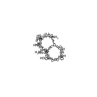 CC(=O)NC1CSCc2cc3cc(c2)CSCC(NC(=O)C(CCCCNC(=N)N)NC(=O)C(Cc2ccc(O)cc2)NC(=O)C2CCN2C(=O)C(Cc2ccccc2)NC(=O)C(CO)NC1=O)C(=O)NC(C)CNC(Cc1c[nH]cn1)C(=O)NC(CCC(N)=O)C(=O)NC(CC(=O)O)C(=O)NC(CC(C)C)C(=O)NC(C(N)=O)CSC3